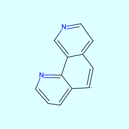 [c]1cc2ccncc2c2ncccc12